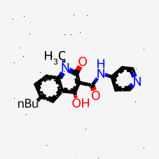 CCCCc1ccc2c(c1)c(O)c(C(=O)Nc1ccncc1)c(=O)n2C